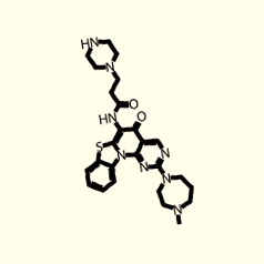 CN1CCCN(c2ncc3c(=O)c(NC(=O)CCN4CCNCC4)c4sc5ccccc5n4c3n2)CC1